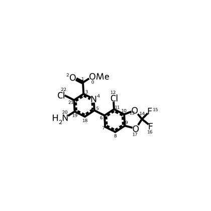 COC(=O)c1nc(-c2ccc3c(c2Cl)OC(F)(F)O3)cc(N)c1Cl